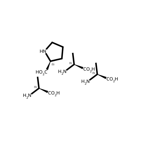 C[C@H](N)C(=O)O.C[C@H](N)C(=O)O.C[C@H](N)C(=O)O.O=C(O)[C@@H]1CCCN1